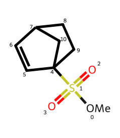 COS(=O)(=O)C12C=CC(CC1)C2